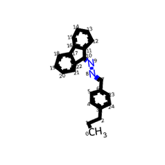 CCCc1ccc(C=NN=C2c3ccccc3-c3ccccc32)cc1